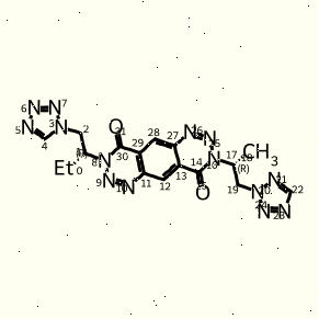 CC[C@H](Cn1cnnn1)n1nnc2cc3c(=O)n([C@H](C)Cn4ncnn4)nnc3cc2c1=O